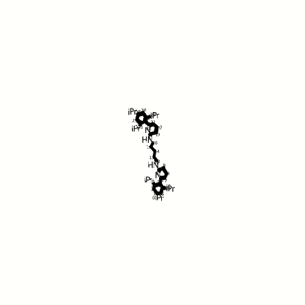 CC(C)c1cc(C(C)C)c(-c2cccc(NCCCCCNc3cccc(-c4c(C(C)C)cc(C(C)C)cc4C(C)C)n3)n2)c(C(C)C)c1